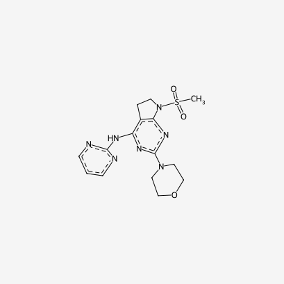 CS(=O)(=O)N1CCc2c(Nc3ncccn3)nc(N3CCOCC3)nc21